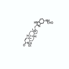 CCN1C(=O)C=C[C@]2(C)[C@H]3CC[C@]4(C)[C@@H](Cc5nc6cc(NC=O)ccc6[nH]5)CC[C@H]4[C@@H]3CC[C@@H]12